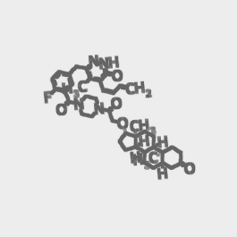 C=C/C=C\c1c(C)c(Cc2ccc(F)c(C(=O)N3CCN(C(=O)CO[C@H]4CC[C@H]5[C@@H]6CC[C@H]7CC(=O)CC[C@]7(C)[C@H]6CC[C@]45C)CC3)c2)n[nH]c1=O